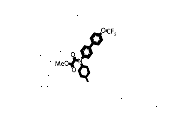 COC(=O)C(=O)N(c1ccc(-c2ccc(OC(F)(F)F)cc2)cc1)C1CCC(C)CC1